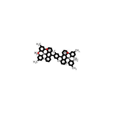 Cc1cc(C)c(B(c2c(C)cc(C)cc2C)c2c3ccccc3c(-c3cc(C)c(-c4c5ccccc5c(B(c5c(C)cc(C)cc5C)c5c(C)cc(C)cc5C)c5ccccc45)cc3C)c3ccccc23)c(C)c1